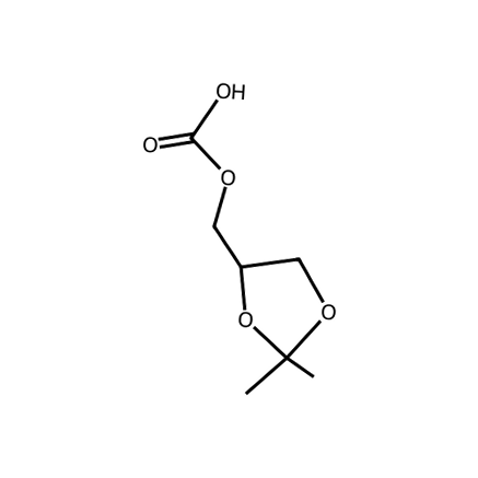 CC1(C)OCC(COC(=O)O)O1